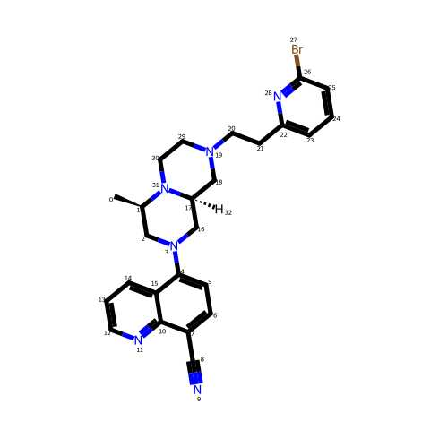 C[C@@H]1CN(c2ccc(C#N)c3ncccc23)C[C@@H]2CN(CCc3cccc(Br)n3)CCN21